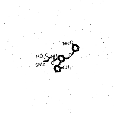 COc1cccc(COCc2ccc(C(=O)N[C@@H](CCSC)C(=O)O)c(-c3ccccc3C)c2)c1